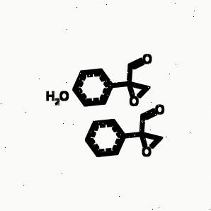 O.O=CC1(c2ccccc2)CO1.O=CC1(c2ccccc2)CO1